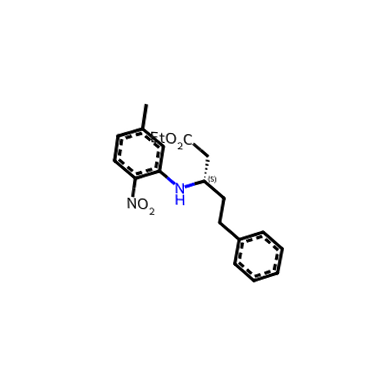 CCOC(=O)C[C@H](CCc1ccccc1)Nc1cc(C)ccc1[N+](=O)[O-]